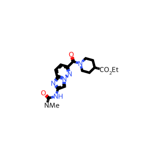 CCOC(=O)C1CCN(C(=O)c2ccc3nc(NC(=O)NC)cn3n2)CC1